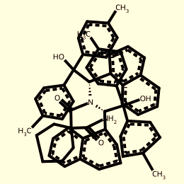 Cc1ccc(C(O)(c2ccc(C)cc2)[C@H](c2cccc3ccccc23)N(C(=O)C2(C(N)=O)CCCCC2)[C@@H](c2cccc3ccccc23)C(O)(c2ccc(C)cc2)c2ccc(C)cc2)cc1